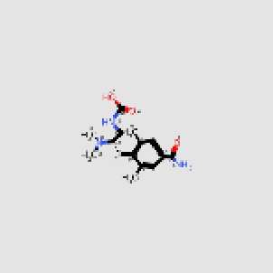 Cc1cc(C(N)=O)cc(C)c1C[C@@H](CNC(=O)O)N(C)C